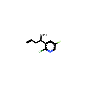 C=CCC(NC(C)=O)c1cc(F)cnc1Cl